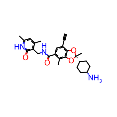 C#Cc1cc(C(=O)NCc2c(C)cc(C)[nH]c2=O)c(C)c2c1OC(C)([C@H]1CC[C@H](N)CC1)O2